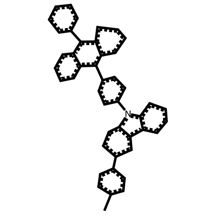 Cc1ccc(-c2ccc3c(c2)c2ccccc2n3-c2ccc(-c3c4ccccc4c(-c4ccccc4)c4ccccc34)cc2)cc1